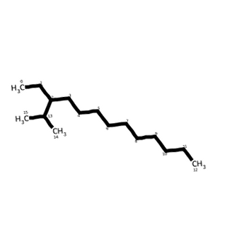 C[CH]C(CCCCCCCCCC)[C](C)C